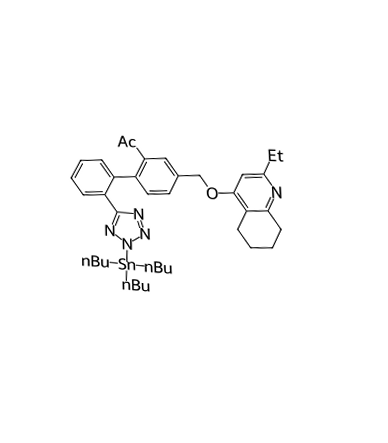 CCC[CH2][Sn]([CH2]CCC)([CH2]CCC)[n]1nnc(-c2ccccc2-c2ccc(COc3cc(CC)nc4c3CCCC4)cc2C(C)=O)n1